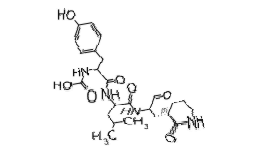 CC(C)CC(NC(=O)C(Cc1ccc(O)cc1)NC(=O)O)C(=O)NC(C=O)C[C@@H]1CCCNC1=O